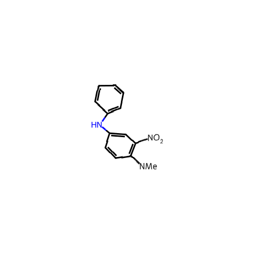 CNc1ccc(Nc2ccccc2)cc1[N+](=O)[O-]